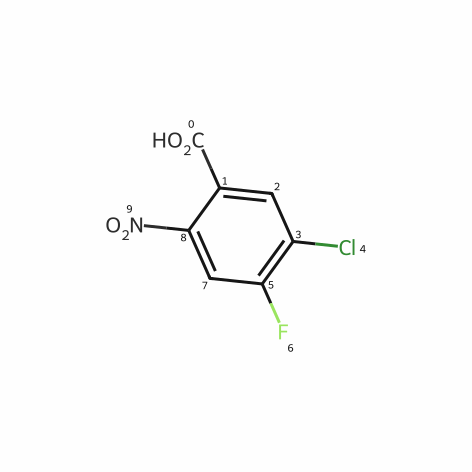 O=C(O)c1cc(Cl)c(F)cc1[N+](=O)[O-]